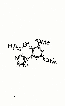 COc1cc(OC)cc(-n2nnnc2[S+](C)[O-])c1